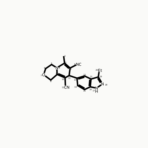 [C-]#[N+]C1=C(C)N2CCOCC2=C(C#N)C1c1ccc2[nH]nc(CC)c2c1